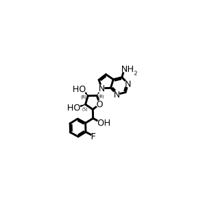 Nc1ncnc2c1ccn2[C@@H]1OC(C(O)c2ccccc2F)[C@@H](O)[C@H]1O